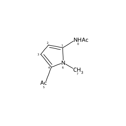 CC(=O)Nc1ccc(C(C)=O)n1C